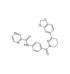 O=C(Nc1ccc(C(=O)N2CCCC(c3ccc4c(c3)OCO4)=N2)cc1)c1cnccn1